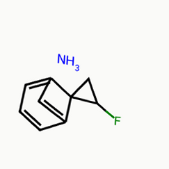 FC1CC12C1=CC=CC2=C1.N